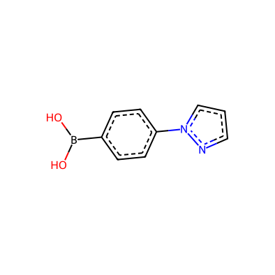 OB(O)c1ccc(-n2cccn2)cc1